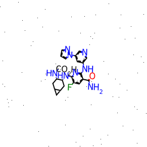 NC(=O)c1cc(F)c(N[C@@H]2CC3CC3C[C@@H]2NC(=O)O)nc1Nc1cncc(-n2cccn2)c1